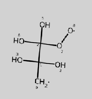 [CH2]C(O)(O)C(O)(O)O[O]